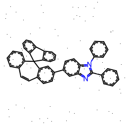 C1=Cc2ccc(-c3ccc4c(c3)nc(-c3ccccc3)n4-c3ccccc3)cc2C2(c3ccccc31)c1ccccc1-c1ccccc12